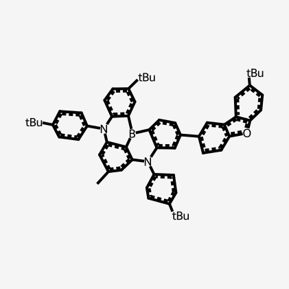 Cc1cc2c3c(c1)N(c1ccc(C(C)(C)C)cc1)c1cc(-c4ccc5oc6ccc(C(C)(C)C)cc6c5c4)ccc1B3c1cc(C(C)(C)C)ccc1N2c1ccc(C(C)(C)C)cc1